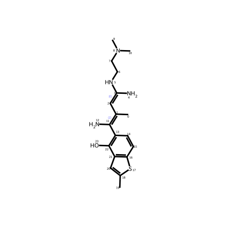 CC(/C=C(\N)NCCN(C)C)=C(/N)c1ccc2sc(C)cc2c1O